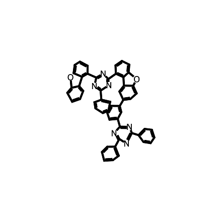 c1ccc(-c2nc(-c3ccccc3)nc(-c3cccc(-c4ccc5oc6cccc(-c7nc(-c8ccccc8)nc(-c8cccc9oc%10ccccc%10c89)n7)c6c5c4)c3)n2)cc1